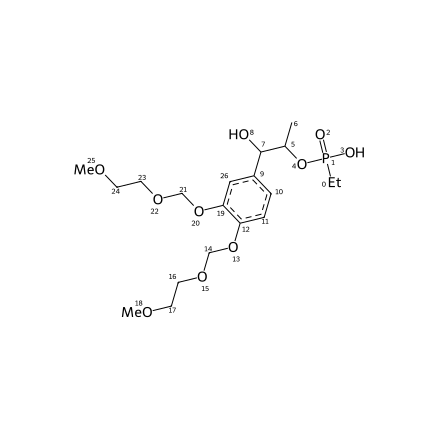 CCP(=O)(O)OC(C)C(O)c1ccc(OCOCCOC)c(OCOCCOC)c1